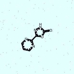 O=c1[nH]nc(-c2ncccn2)o1